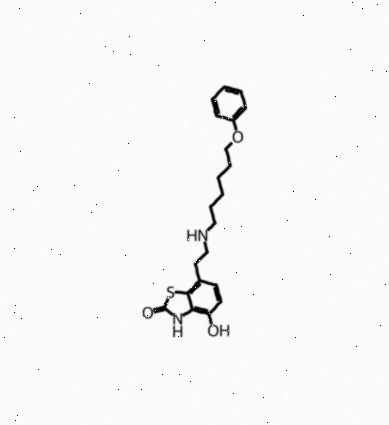 O=c1[nH]c2c(O)ccc(CCNCCCCCCOc3ccccc3)c2s1